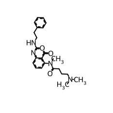 CN(C)CCCC(=O)N(C)c1cccc2nc(NCCc3ccccc3)oc(=O)c12